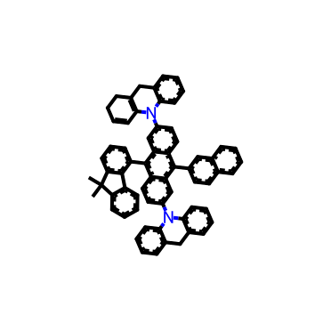 CC1(C)c2ccccc2-c2c(-c3c4ccc(N5c6ccccc6Cc6ccccc65)cc4c(-c4ccc5ccccc5c4)c4ccc(N5C6=C(CCC=C6)Cc6ccccc65)cc34)cccc21